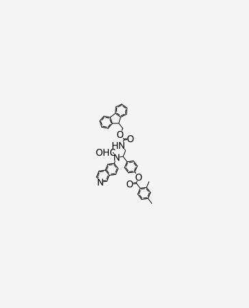 Cc1ccc(C(=O)Oc2ccc(C(CNC(=O)OCC3c4ccccc4-c4ccccc43)N(C=O)c3ccc4cnccc4c3)cc2)c(C)c1